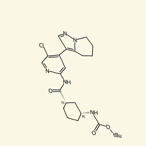 CC(C)(C)OC(=O)N[C@@H]1CCC[C@H](C(=O)Nc2cc(-c3cnn4c3CCCC4)c(Cl)cn2)C1